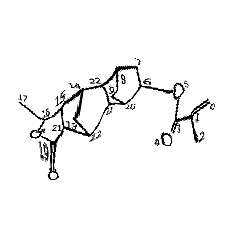 C=C(C)C(=O)OC1CC2CC1C1C3CC(C4C(C)OC(=O)C34)C21